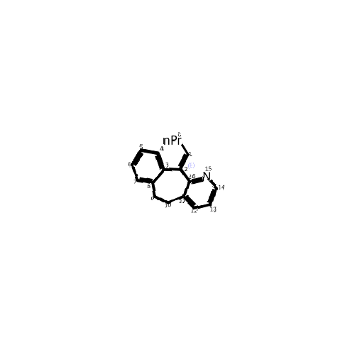 CCC/C=C1\c2ccccc2CCc2cccnc21